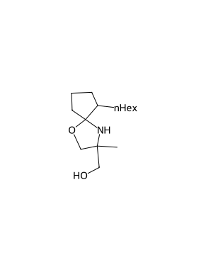 CCCCCCC1CCCC12NC(C)(CO)CO2